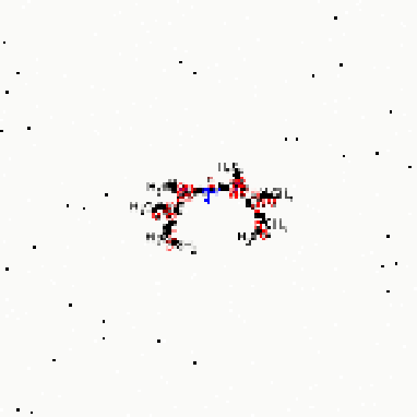 C=CCOP(=O)(OCCNC(=O)NCCOP(=O)(OCC=C)OC[C@@H](COCC[C@@H](C)OC(C)=O)OC(=O)CC(C)=O)OC[C@@H](COCC[C@@H](C)OC(C)=O)OC(=O)CC(C)=O